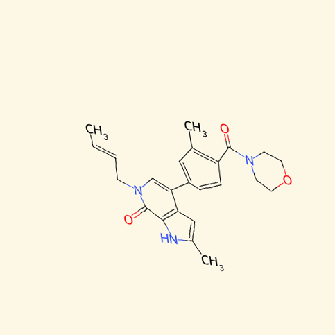 CC=CCn1cc(-c2ccc(C(=O)N3CCOCC3)c(C)c2)c2cc(C)[nH]c2c1=O